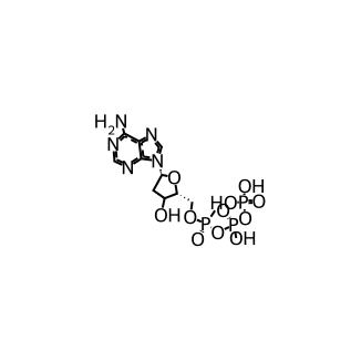 CP(=O)(OC[C@H]1O[C@@H](n2cnc3c(N)ncnc32)CC1O)OP(=O)(O)OP(=O)(O)O